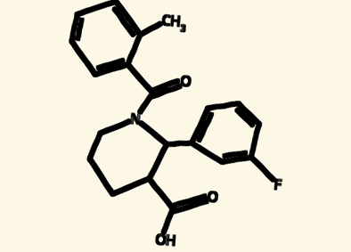 Cc1ccccc1C(=O)N1CCCC(C(=O)O)C1c1cccc(F)c1